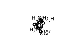 CC(=O)Oc1ccc(C(=O)N(C)C(=O)NC(C(=O)N[C@@H]2C(=O)N3[C@@H]2SC(C)(C)[C@@H]3C(=O)O)c2ccccc2)cc1OC(C)=O